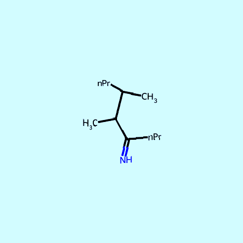 CCCC(=N)C(C)C(C)CCC